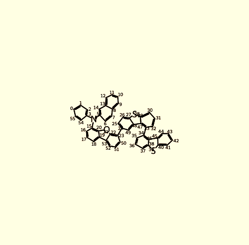 c1ccc(N(c2ccc3ccccc3c2)c2cccc3c2oc2c(-c4ccc5sc6cccc(-c7cccc8sc9ccccc9c78)c6c5c4)cccc23)cc1